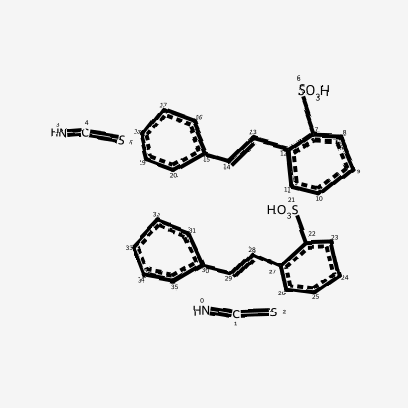 N=C=S.N=C=S.O=S(=O)(O)c1ccccc1C=Cc1ccccc1.O=S(=O)(O)c1ccccc1C=Cc1ccccc1